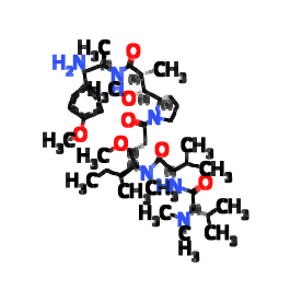 CCC(C)[C@@H]([C@@H](CC(=O)N1CCC[C@H]1[C@H](OC)[C@@H](C)C(=O)N[C@H](C)C(N)c1ccc(OC)cc1)OC)N(C)C(=O)[C@@H](NC(=O)[C@H](C(C)C)N(C)C)C(C)C